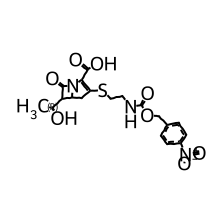 C[C@@H](O)C1C(=O)N2C(C(=O)O)=C(SCCNC(=O)OCc3ccc([N+](=O)[O-])cc3)CC12